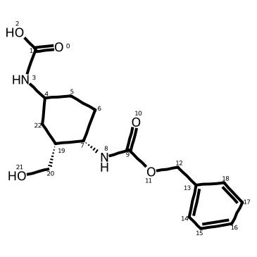 O=C(O)NC1CC[C@H](NC(=O)OCc2ccccc2)[C@H](CO)C1